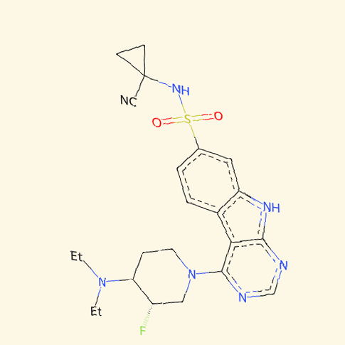 CCN(CC)C1CCN(c2ncnc3[nH]c4cc(S(=O)(=O)NC5(C#N)CC5)ccc4c23)C[C@@H]1F